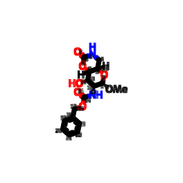 CO[C@H]1O[C@H]2CNC(=O)O[C@H]2[C@H](O)[C@H]1NC(=O)OCc1ccccc1